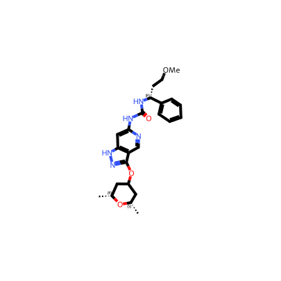 COCC[C@@H](NC(=O)Nc1cc2[nH]nc(OC3C[C@@H](C)O[C@@H](C)C3)c2cn1)c1ccccc1